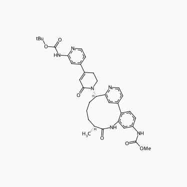 COC(=O)Nc1ccc2c(c1)NC(=O)[C@H](C)CCC[C@H](N1CCC(c3ccnc(NC(=O)OC(C)(C)C)c3)=CC1=O)c1cc-2ccn1